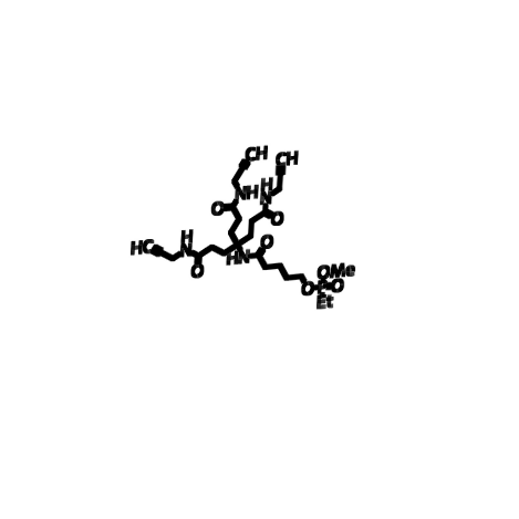 C#CCNC(=O)CCC(CCC(=O)NCC#C)(CCC(=O)NCC#C)NC(=O)CCCCOP(=O)(CC)OC